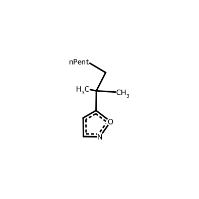 CCCCCCC(C)(C)c1ccno1